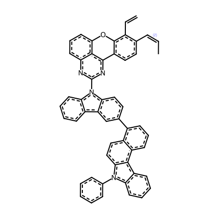 C=Cc1c(/C=C\C)ccc2c1Oc1cccc3nc(-n4c5ccccc5c5cc(-c6cccc7c6ccc6c7c7ccccc7n6-c6ccccc6)ccc54)nc-2c13